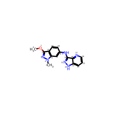 COc1nn(C)c2cc(Nc3n[nH]c4cccnc34)ccc12